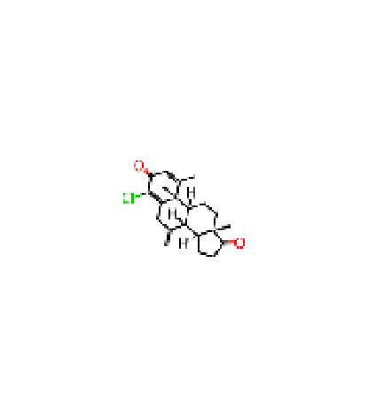 C=C1CC2=C(Cl)C(=O)C=C(C)[C@]2(C)[C@@H]2CC[C@]3(C)C(=O)CC[C@H]3[C@H]12